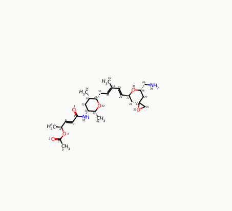 CC(=O)O[C@@H](C)C=CC(=O)N[C@@H]1C[C@H](C)[C@H](CC=C(C)C=C[C@@H]2C[C@@]3(CO3)C[C@@H](CN)O2)O[C@@H]1C